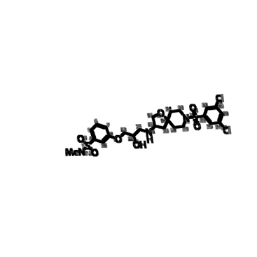 CNS(=O)(=O)c1cccc(OCC(O)CNC2COC3(CCN(S(=O)(=O)c4cc(Cl)cc(Cl)c4)CC3)C2)c1